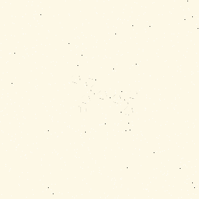 C=CCC(CC)(CC)c1ccc(N(c2ccc(-c3ccc(N(c4ccccc4)c4ccccc4)cc3)cc2)c2cccc(-c3ccccc3)c2)cc1